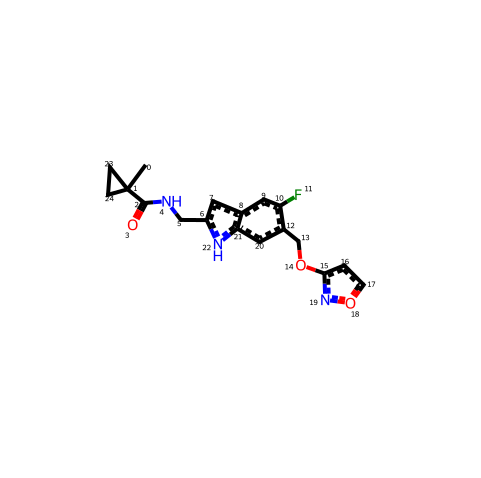 CC1(C(=O)NCc2cc3cc(F)c(COc4ccon4)cc3[nH]2)CC1